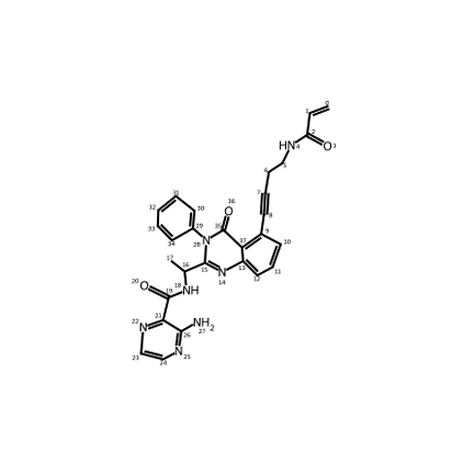 C=CC(=O)NCCC#Cc1cccc2nc(C(C)NC(=O)c3nccnc3N)n(-c3ccccc3)c(=O)c12